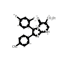 [C-]#[N+]c1ccc(-c2nc3[nH]cc(C(=O)OCC)c(=O)n3c2-c2ccc(F)cc2F)cc1